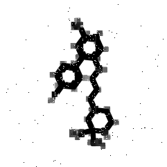 CC1(C)CN(CCCOc2cnc(C#N)cc2-c2ccc(F)cc2)CCO1